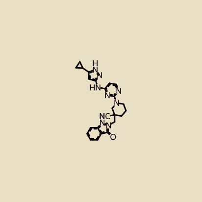 N#CC1(Cn2[nH]c3ccccc3c2=O)CCCN(c2nccc(Nc3cc(C4CC4)[nH]n3)n2)C1